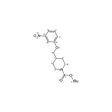 CC(C)(C)OC(=O)N1CCC(COc2cccc([N+](=O)[O-])c2)CC1